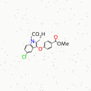 COC(=O)c1ccc(Oc2c(C)n(CC(=O)O)c3ccc(Cl)cc23)cc1